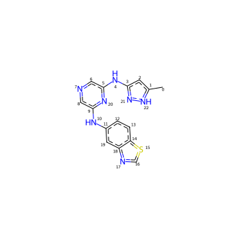 Cc1cc(Nc2cncc(Nc3ccc4scnc4c3)n2)n[nH]1